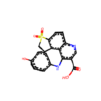 O=C(O)c1cnc2ccc3c(c2c1Nc1ccc(O)cc1)CCS3(=O)=O